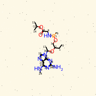 CCC(COP(C)NCC(=O)OC(C)C)OC(C)n1cnc2c(NC)nc(N)nc21